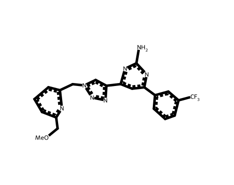 COCc1cccc(Cn2cc(-c3cc(-c4cccc(C(F)(F)F)c4)nc(N)n3)nn2)n1